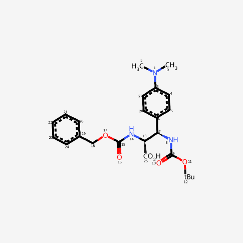 CN(C)c1ccc([C@@H](NC(=O)OC(C)(C)C)[C@H](NC(=O)OCc2ccccc2)C(=O)O)cc1